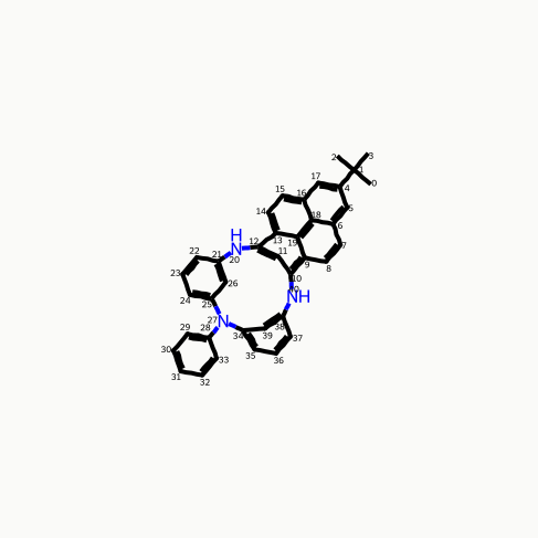 CC(C)(C)c1cc2ccc3c4cc(c5ccc(c1)c2c35)Nc1cccc(c1)N(c1ccccc1)c1cccc(c1)N4